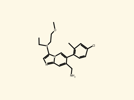 CCN(CCOC)c1cnc2cc(CN)c(-c3ccc(Cl)cc3C)cn12